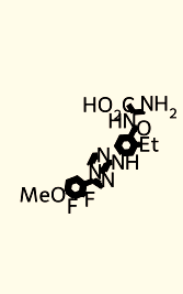 CCc1cc(Nc2nccn3c(-c4ccc(OC)c(F)c4F)cnc23)ccc1C(=O)NC(CN)C(=O)O